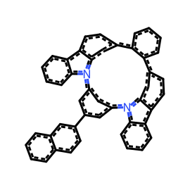 c1ccc2cc(-c3cc4cc(c3)n3c5ccccc5c5ccc(cc53)c3ccccc3c3ccc5c6ccccc6n4c5c3)ccc2c1